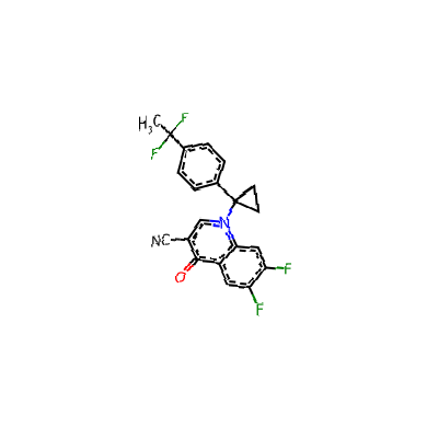 CC(F)(F)c1ccc(C2(n3cc(C#N)c(=O)c4cc(F)c(F)cc43)CC2)cc1